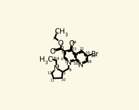 CCOC(=O)c1cn(CC2CCCN2CC)c2ncc(Br)cc2c1=O